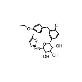 CCOc1ccc(Cc2cc([C@@H]3OC(Nc4ncc(C)s4)[C@@H](O)[C@H](O)[C@H]3O)ccc2Cl)cc1